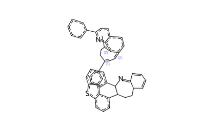 C\C1=c2/c(ccc3ccc(-c4ccccc4)nc23)=C\C=C(\c2ccc3sc4cccc(C5CCC6C=CC=CC6=NC5c5ccccc5)c4c3c2)CC1